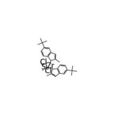 CC1=Cc2cc(C(C)(C)C)ccc2[CH]1[Zr]([Cl])([Cl])([CH]1C(C)=Cc2cc(C(C)(C)C)ccc21)=[Si](C)C